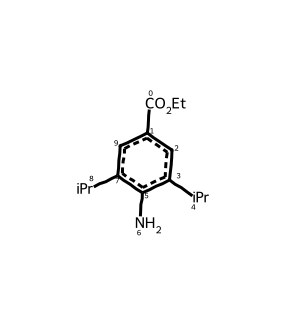 CCOC(=O)c1cc(C(C)C)c(N)c(C(C)C)c1